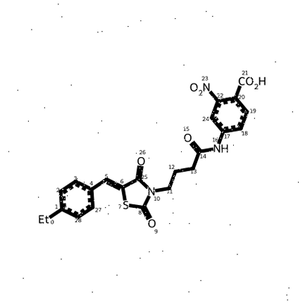 CCc1ccc(/C=C2\SC(=O)N(CCCC(=O)Nc3ccc(C(=O)O)c([N+](=O)[O-])c3)C2=O)cc1